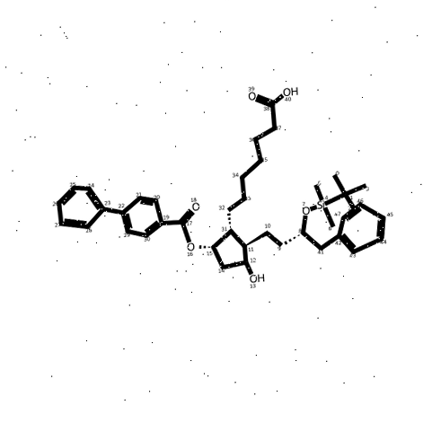 CC(C)(C)[Si](C)(C)O[C@@H](CC[C@H]1C(O)C[C@H](OC(=O)c2ccc(-c3ccccc3)cc2)[C@@H]1CCCCCCC(=O)O)Cc1ccccc1